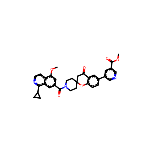 COC(=O)c1cncc(-c2ccc3c(c2)C(=O)CC2(CCN(C(=O)c4cc(OC)c5ccnc(C6CC6)c5c4)CC2)O3)c1